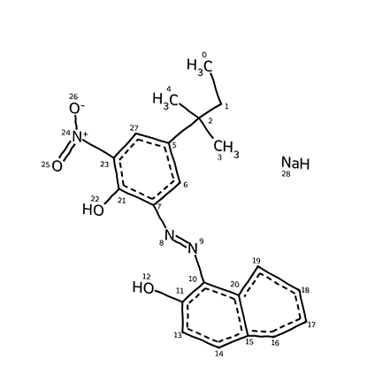 CCC(C)(C)c1cc(N=Nc2c(O)ccc3ccccc23)c(O)c([N+](=O)[O-])c1.[NaH]